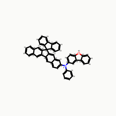 c1ccc(N(c2ccc3cc4c(cc3c2)C2(c3ccccc3-c3ccccc32)c2cc3ccccc3cc2-4)c2ccc3oc4ccccc4c3c2)cc1